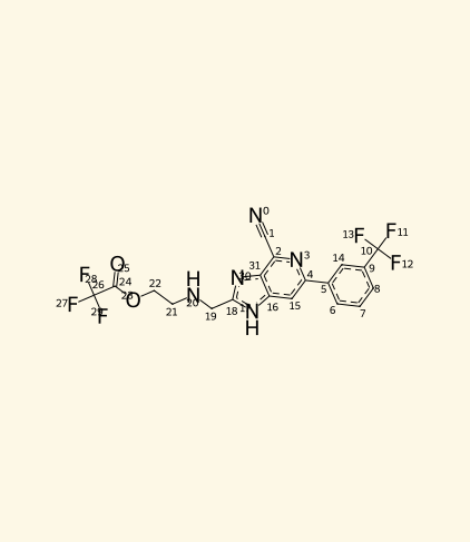 N#Cc1nc(-c2cccc(C(F)(F)F)c2)cc2[nH]c(CNCCOC(=O)C(F)(F)F)nc12